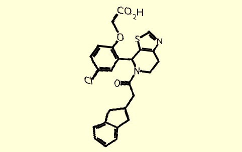 O=C(O)COc1ccc(Cl)cc1C1c2scnc2CCN1C(=O)CC1Cc2ccccc2C1